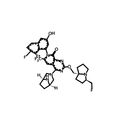 CCc1c(F)ccc2cc(O)cc(-n3c(C(F)(F)F)cc4c(N5C[C@H]6CC[C@@H](C5)N6)nc(OC[C@]56CCCN5[C@@H](CF)CC6)nc4c3=O)c12